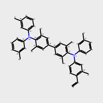 C=Cc1ccc(N(c2cccc(C)c2)c2c(C)cc(-c3cc(C)c(N(c4cccc(C)c4)c4cccc(C)c4)c(C)c3)cc2C)cc1C